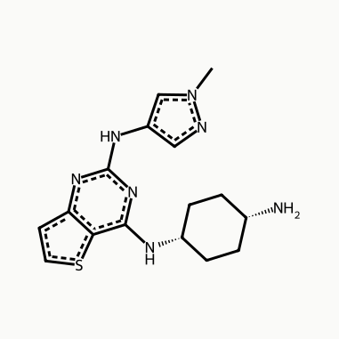 Cn1cc(Nc2nc(N[C@H]3CC[C@@H](N)CC3)c3sccc3n2)cn1